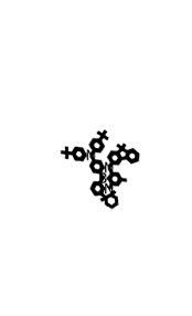 Cc1cc2c3c(c1)N1c4c(cccc4C4(C)CCCCC14C)B3c1ccc(N(c3ccc(C(C)(C)C)cc3)c3ccc(C(C)(C)C)cc3)cc1N2c1ccc2c(c1)-c1ccccc1C2(C)C